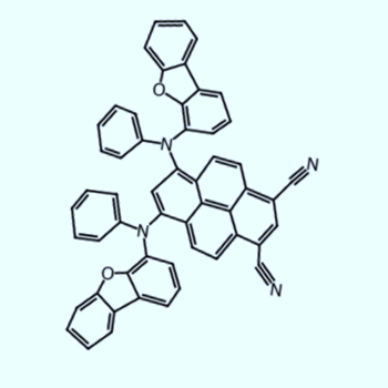 N#Cc1cc(C#N)c2ccc3c(N(c4ccccc4)c4cccc5c4oc4ccccc45)cc(N(c4ccccc4)c4cccc5c4oc4ccccc45)c4ccc1c2c43